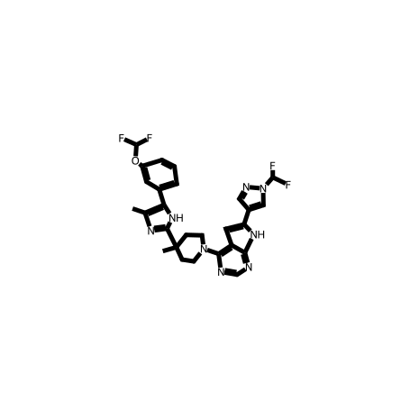 Cc1nc(C2(C)CCN(c3ncnc4[nH]c(-c5cnn(C(F)F)c5)cc34)CC2)[nH]c1-c1cccc(OC(F)F)c1